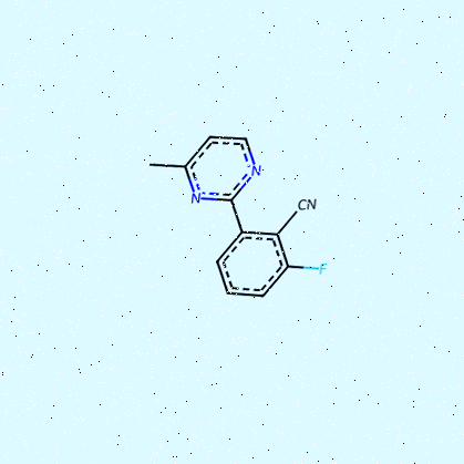 Cc1ccnc(-c2cccc(F)c2C#N)n1